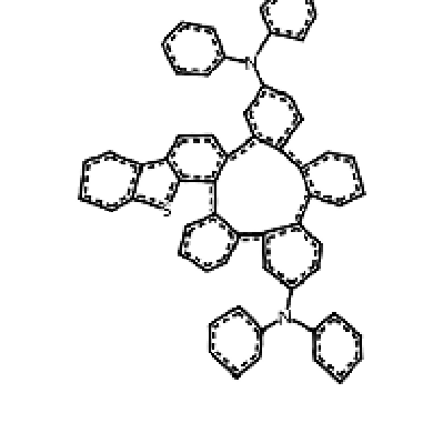 c1ccc(N(c2ccccc2)c2ccc3c4ccccc4c4ccc(N(c5ccccc5)c5ccccc5)cc4c4ccc5c6ccccc6sc5c4c4ccccc4c3c2)cc1